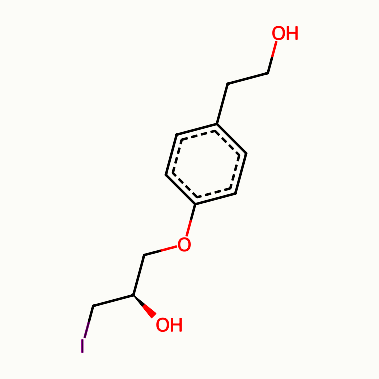 OCCc1ccc(OC[C@@H](O)CI)cc1